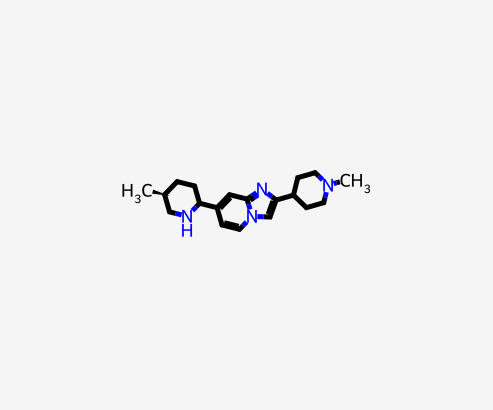 C[C@H]1CCC(c2ccn3cc(C4CCN(C)CC4)nc3c2)NC1